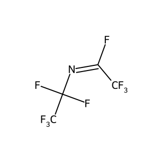 F/C(=N/C(F)(F)C(F)(F)F)C(F)(F)F